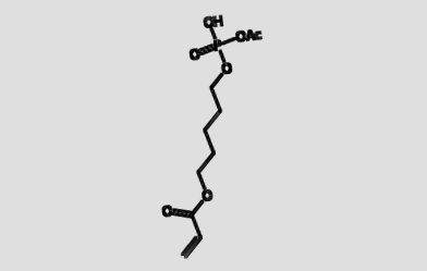 C=CC(=O)OCCCCCOP(=O)(O)OC(C)=O